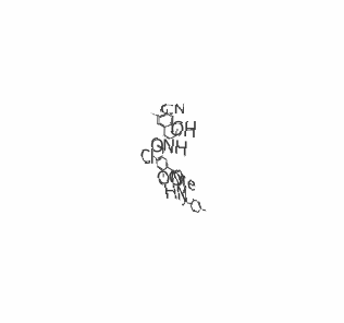 COc1cc(Cl)c(C(=O)NC(CO)Cc2ccc(C#N)c(C)c2)cc1-c1ccc(CNC(C)c2ccc(C)cc2)o1